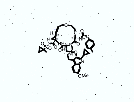 COc1ccc2c3c(c(C4CC4)nc2c1)O[C@]1(CC3)C[C@H]2C(=O)N[C@]3(C(=O)NS(=O)(=O)C4(C)CC4)C[C@H]3/C=C\CCCCC[C@H](NC(=O)Oc3ccc(C)cc3)C(=O)N2C1